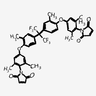 Cc1cc(C(c2ccc(Oc3cc(C)c(N4C(=O)C=CC4=O)c(C)c3)c(C)c2)(C(F)(F)F)C(F)(F)F)ccc1Oc1cc(C)c(N2C(=O)C=CC2=O)c(C)c1